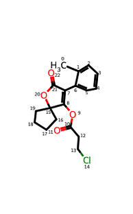 Cc1ccccc1C1=C(OC(=O)CCCl)C2(CCCC2)OC1=O